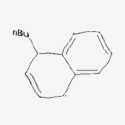 CCCCC1C=C[CH]c2ccccc21